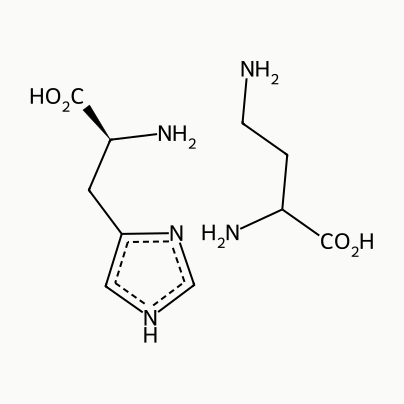 NCCC(N)C(=O)O.N[C@@H](Cc1c[nH]cn1)C(=O)O